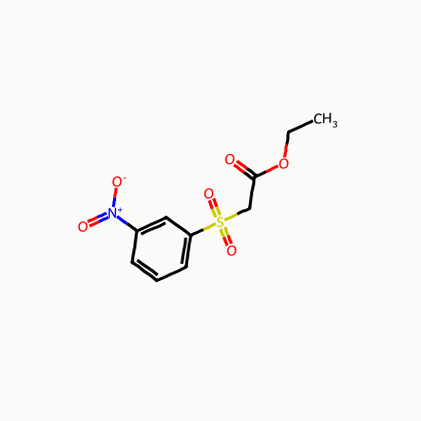 CCOC(=O)CS(=O)(=O)c1cccc([N+](=O)[O-])c1